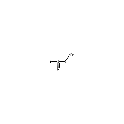 CCCSS(C)(#N)I